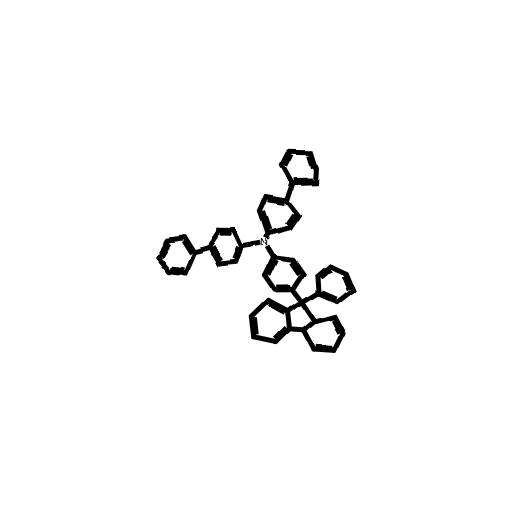 C1=CC2c3ccccc3C(c3ccccc3)(c3ccc(N(c4ccc(-c5ccccc5)cc4)c4ccc(-c5ccccc5)cc4)cc3)C2C=C1